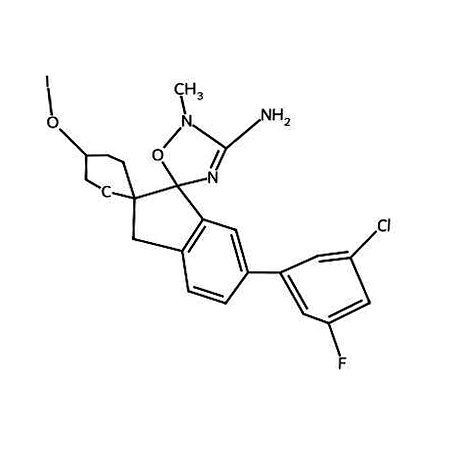 CN1OC2(N=C1N)c1cc(-c3cc(F)cc(Cl)c3)ccc1CC21CCC(OI)CC1